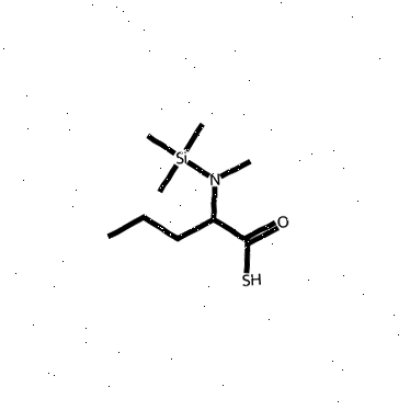 CCCC(C(=O)S)N(C)[Si](C)(C)C